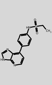 CCS(=O)(=O)Nc1ccc(-c2ccnc3[nH]cnc23)cc1